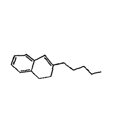 CCCCCC1=Cc2ccccc2CC1